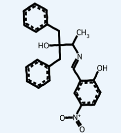 CC(N=Cc1cc([N+](=O)[O-])ccc1O)C(O)(Cc1ccccc1)Cc1ccccc1